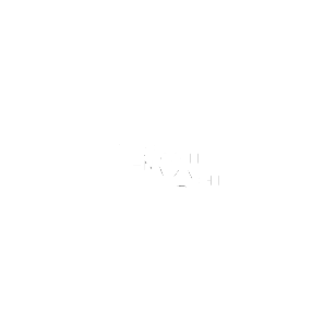 O=C(CCC1CCCC1)N/C(=C/c1ccc(O)cc1)C(=O)O